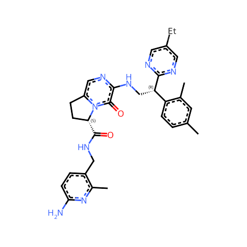 CCc1cnc([C@@H](CNc2ncc3n(c2=O)[C@H](C(=O)NCc2ccc(N)nc2C)CC3)c2ccc(C)cc2C)nc1